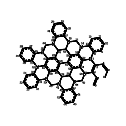 C=CC1=C(/C=C\C)B2c3ccccc3N3CB4c5ccccc5N5CB6c7ccccc7N7c8ccccc8B8CN9c%10ccccc%10B%10CN1c1c2c3c2c3c1C%10C9c1c8c7c6c(c1-3)C5C42